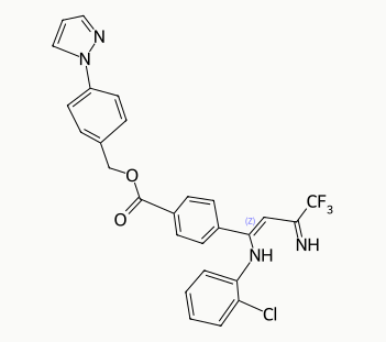 N=C(/C=C(\Nc1ccccc1Cl)c1ccc(C(=O)OCc2ccc(-n3cccn3)cc2)cc1)C(F)(F)F